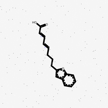 O=C(O)/C=C/C=C/CCCc1cc2ccccc2o1